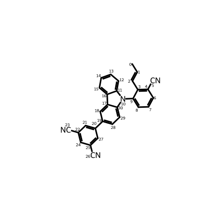 C/C=C/c1c(C#N)cccc1-n1c2ccccc2c2cc(-c3cc(C#N)cc(C#N)c3)ccc21